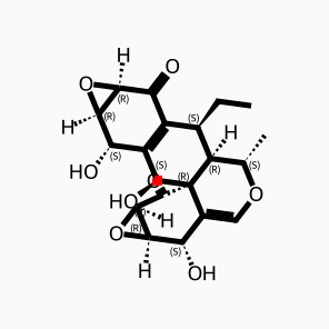 CC[C@@H]1C2=C([C@H](O)[C@H]3O[C@H]3C2=O)[C@H](O)[C@]23C(=O)[C@@H]4O[C@@H]4[C@@H](O)C2=CO[C@@H](C)[C@H]13